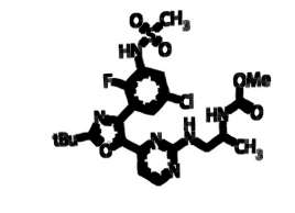 COC(=O)NC(C)CNc1nccc(-c2oc(C(C)(C)C)nc2-c2cc(Cl)cc(NS(C)(=O)=O)c2F)n1